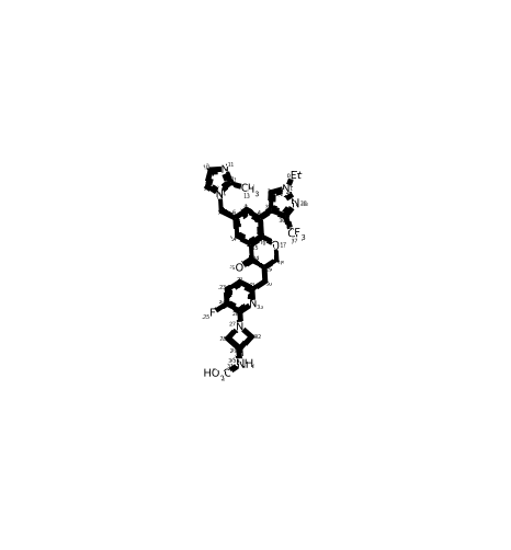 CCn1cc(-c2cc(Cn3ccnc3C)cc3c2OCC(Cc2ccc(F)c(N4CC(NC(=O)O)C4)n2)C3=O)c(C(F)(F)F)n1